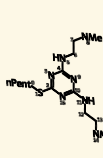 CCCCCSc1nc(NCCNC)nc(NCCNC)n1